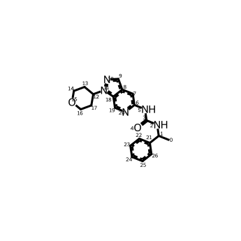 CC(NC(=O)Nc1cc2cnn(C3CCOCC3)c2cn1)c1ccccc1